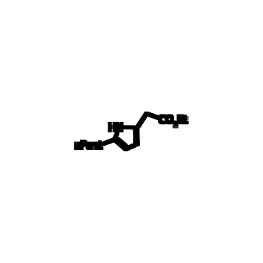 CCCCCc1ccc(CC(=O)OCC)[nH]1